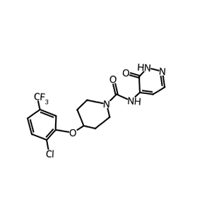 O=C(Nc1ccn[nH]c1=O)N1CCC(Oc2cc(C(F)(F)F)ccc2Cl)CC1